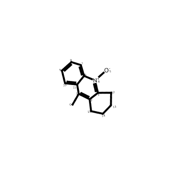 Cc1c2c([n+]([O-])c3ccccc13)CCCC2